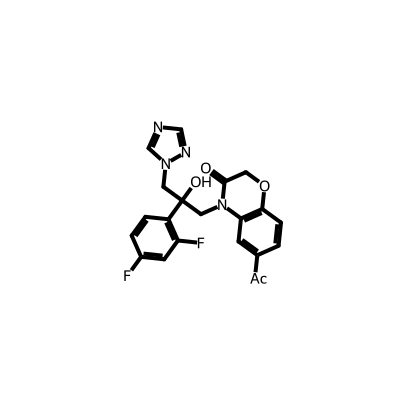 CC(=O)c1ccc2c(c1)N(CC(O)(Cn1cncn1)c1ccc(F)cc1F)C(=O)CO2